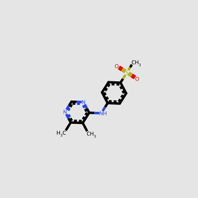 Cc1ncnc(Nc2ccc(S(C)(=O)=O)cc2)c1C